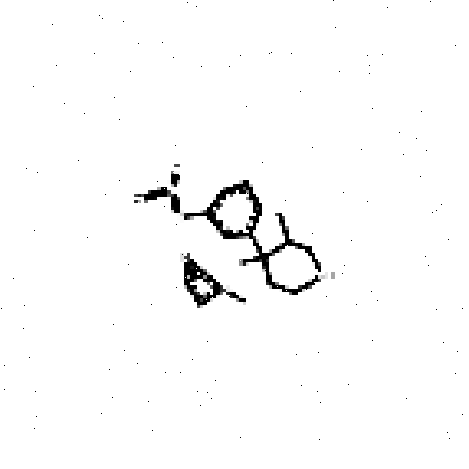 CC1CNCCC1(C)c1cccc(N=S(=O)=O)c1.Cn1cc2nc1-2